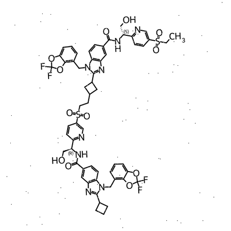 CCS(=O)(=O)c1ccc([C@@H](CO)NC(=O)c2ccc3c(c2)nc(C2CC(CCS(=O)(=O)c4ccc([C@H](CO)NC(=O)c5ccc6c(c5)nc(C5CCC5)n6Cc5cccc6c5OC(F)(F)O6)nc4)C2)n3Cc2cccc3c2OC(F)(F)O3)nc1